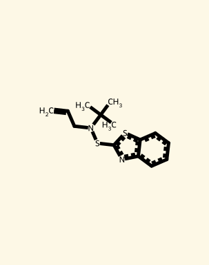 C=CCN(Sc1nc2ccccc2s1)C(C)(C)C